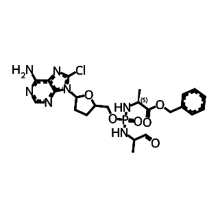 CC(C=O)NP(=O)(N[C@@H](C)C(=O)OCc1ccccc1)OCC1CCC(n2c(Cl)nc3c(N)ncnc32)O1